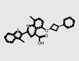 Cc1c(-c2cc(C(=O)O)c3c(O[C@H]4C[C@H](c5ccccc5)C4)ccc(C)c3n2)sc2ccccc12